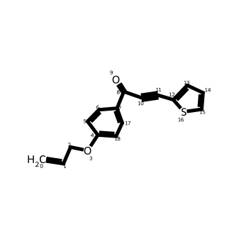 C=CCOc1ccc(C(=O)C#Cc2cccs2)cc1